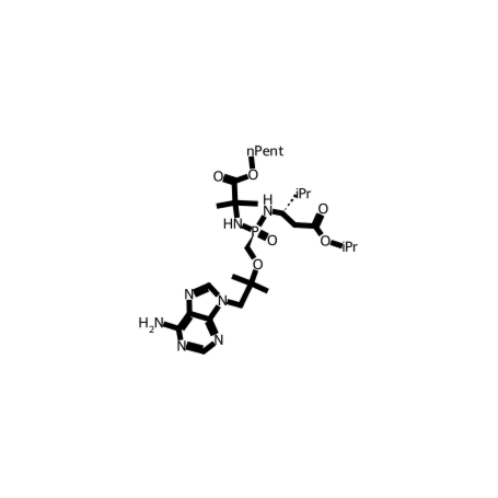 CCCCCOC(=O)C(C)(C)N[P@](=O)(COC(C)(C)Cn1cnc2c(N)ncnc21)N[C@@H](CC(=O)OC(C)C)C(C)C